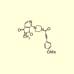 COc1ccc(C#CC(=O)N2CCN(c3nccc4c3C(=O)N(C)C4=O)CC2)cc1